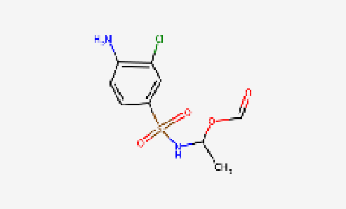 CC(NS(=O)(=O)c1ccc(N)c(Cl)c1)OC=O